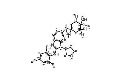 [2H]C1CC([2H])(Nc2ncc3nc(Nc4c(F)cc(F)cc4F)n(C4CCOC4)c3n2)CC([2H])([2H])C1([2H])O